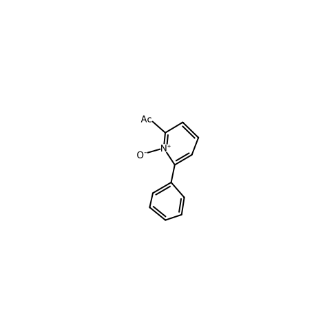 CC(=O)c1cccc(-c2ccccc2)[n+]1[O-]